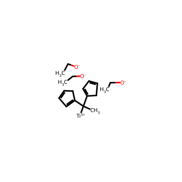 CC[O-].CC[O-].CC[O-].C[C]([Ti+3])(C1=CC=CC1)C1=CC=CC1